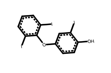 Oc1ccc(Oc2c(I)cccc2I)cc1I